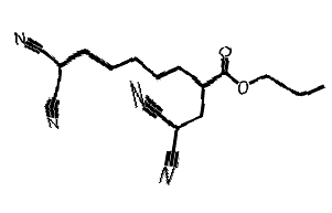 CCCOC(=O)C(CCCCCC(C#N)C#N)CC(C#N)C#N